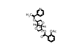 C=C(OC1CO[C@@H]2[C@@H](OC(=O)c3ccccc3OC(C)=O)CO[C@H]12)c1cccnc1